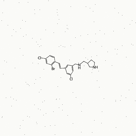 Clc1cc(/C=C/c2ccc(Cl)cc2Br)cc(CNCC2CCNC2)c1